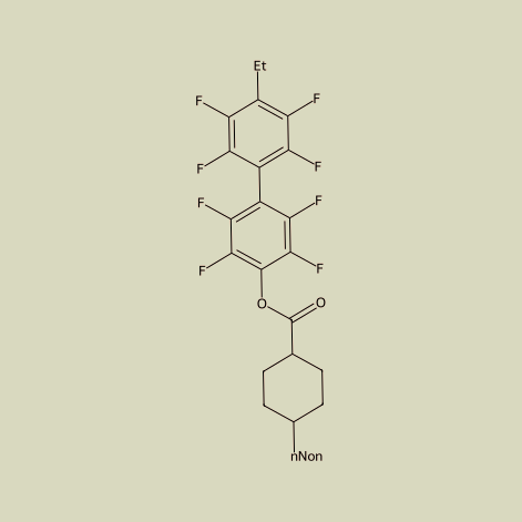 CCCCCCCCCC1CCC(C(=O)Oc2c(F)c(F)c(-c3c(F)c(F)c(CC)c(F)c3F)c(F)c2F)CC1